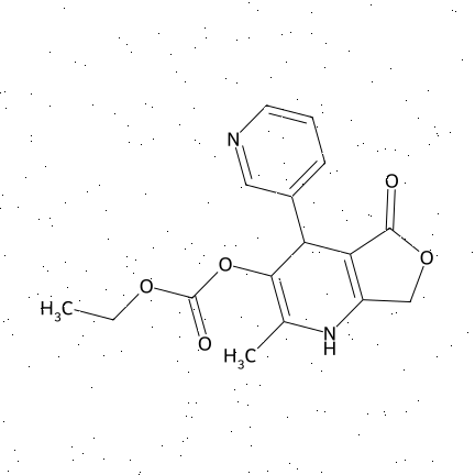 CCOC(=O)OC1=C(C)NC2=C(C(=O)OC2)C1c1cccnc1